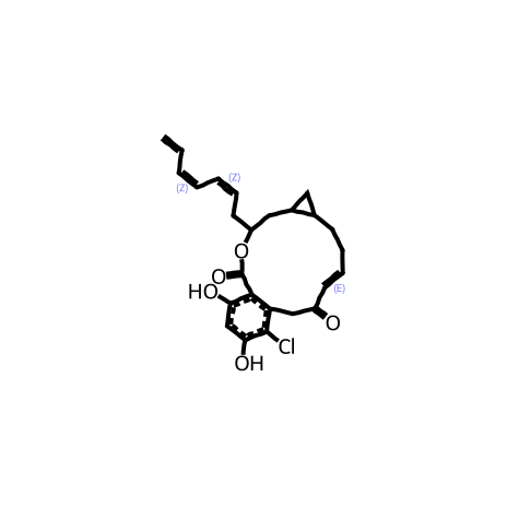 C=C/C=C\C=C/CC1CC2CC2CC/C=C/C(=O)Cc2c(Cl)c(O)cc(O)c2C(=O)O1